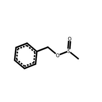 CS(=O)OCc1ccccc1